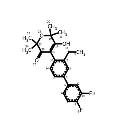 CCc1cc(-c2ccc(F)c(F)c2)ccc1C1=C(O)C(C)(C)OC(C)(C)C1=O